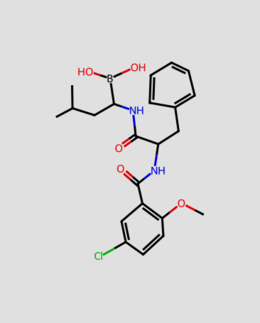 COc1ccc(Cl)cc1C(=O)NC(Cc1ccccc1)C(=O)NC(CC(C)C)B(O)O